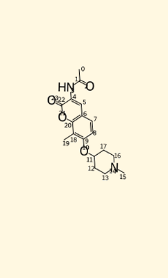 CC(=O)Nc1cc2ccc(OC3CCN(C)CC3)c(C)c2oc1=O